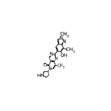 Cc1c(O)c(-c2ncc3c(=O)n(C4CCNC4)cc(C)c3n2)cc2cn(C)nc12